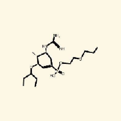 CCCOCCOP(=O)(O)C1=C[C@@H](OC(CC)CC)[C@H](C)[C@@H](NC(=N)N)C1